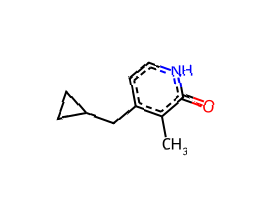 Cc1c(CC2CC2)cc[nH]c1=O